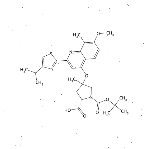 COc1ccc2c(OC3(C)C[C@@H](C(=O)O)N(C(=O)OC(C)(C)C)C3)cc(-c3nc(C(C)C)cs3)nc2c1C